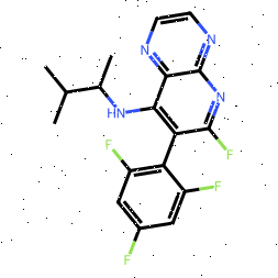 CC(C)C(C)Nc1c(-c2c(F)cc(F)cc2F)c(F)nc2nccnc12